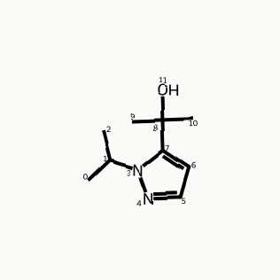 CC(C)n1nccc1C(C)(C)O